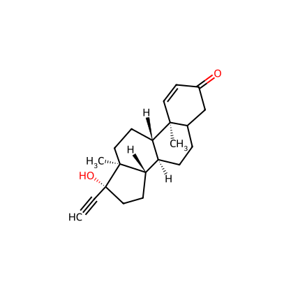 C#C[C@]1(O)CC[C@H]2[C@@H]3CCC4CC(=O)C=C[C@]4(C)[C@H]3CC[C@@]21C